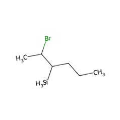 CCCC([SiH3])C(C)Br